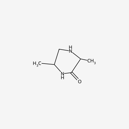 CC1CNC(C)C(=O)N1